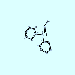 FC=C[SiH](c1ccccc1)c1ccccc1